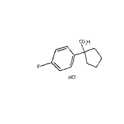 Cl.O=C(O)C1(c2ccc(F)cc2)CCCC1